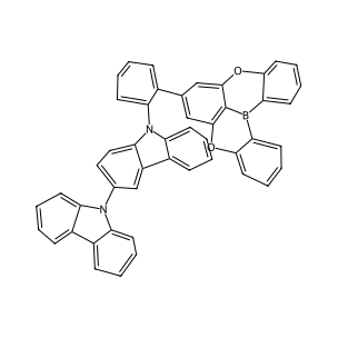 c1ccc2c(c1)Oc1cc(-c3ccccc3-n3c4ccccc4c4cc(-n5c6ccccc6c6ccccc65)ccc43)cc3c1B2c1ccccc1O3